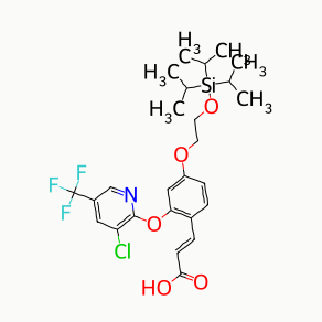 CC(C)[Si](OCCOc1ccc(C=CC(=O)O)c(Oc2ncc(C(F)(F)F)cc2Cl)c1)(C(C)C)C(C)C